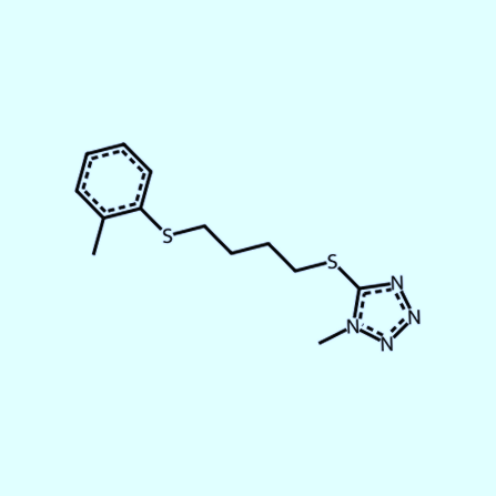 Cc1ccccc1SCCCCSc1nnnn1C